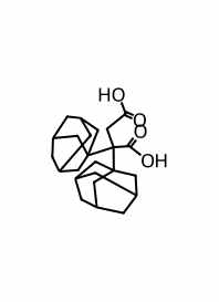 O=C(O)CC(C(=O)O)(C12CC3CC(CC(C3)C1)C2)C12CC3CC(CC(C3)C1)C2